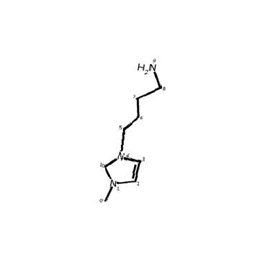 CN1C=CN(CCCCN)C1